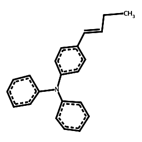 CC/C=C/c1ccc(N(c2ccccc2)c2ccccc2)cc1